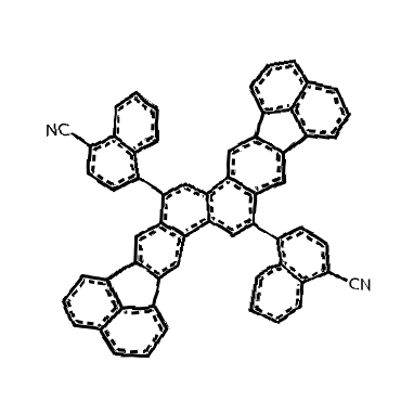 N#Cc1ccc(-c2cc3c4cc5c(cc4c(-c4ccc(C#N)c6ccccc46)cc3c3cc4c(cc23)-c2cccc3cccc-4c23)-c2cccc3cccc-5c23)c2ccccc12